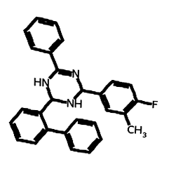 Cc1cc(C2N=C(c3ccccc3)NC(c3ccccc3-c3ccccc3)N2)ccc1F